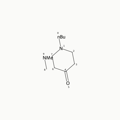 CCCCN1CCC(=O)CC1.CNC